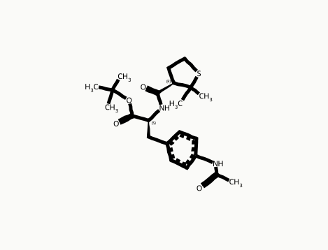 CC(=O)Nc1ccc(C[C@H](NC(=O)[C@H]2CCSC2(C)C)C(=O)OC(C)(C)C)cc1